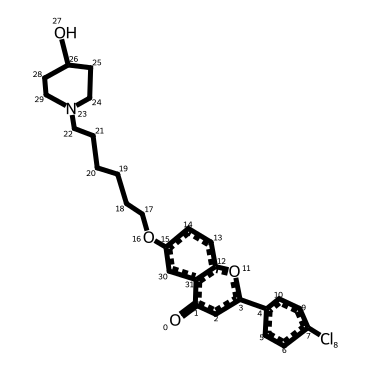 O=c1cc(-c2ccc(Cl)cc2)oc2ccc(OCCCCCCN3CCC(O)CC3)cc12